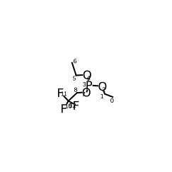 CCOP(OCC)OCC(F)(F)F